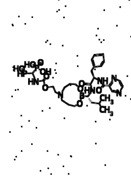 CC(C)C[C@@H](NC(=O)[C@@H](Cc1ccccc1)NC(=O)c1cnccn1)B1OCCCN(CCOC(=O)NC(PO)P(=O)(O)O)CCCO1